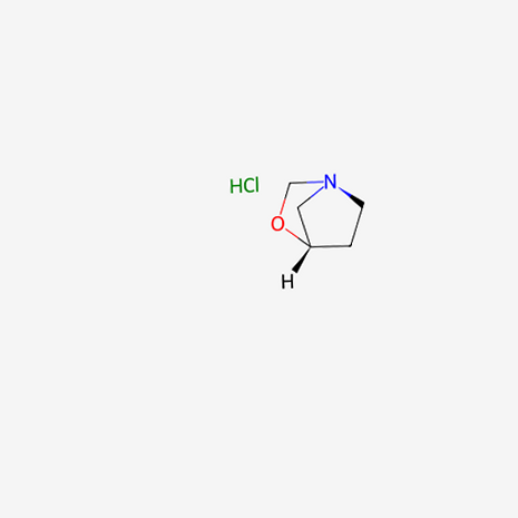 C1C[N@]2CO[C@@H]1C2.Cl